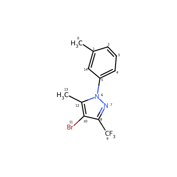 Cc1cccc(-n2nc(C(F)(F)F)c(Br)c2C)c1